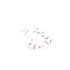 CCC1(COC(=O)c2c(Cl)c(Cl)cc(Cl)c2OC(=O)C(=O)Oc2c(Cl)cc(Cl)c(Cl)c2C(=O)OCC2(CC)C(C)CC2C)C(C)CC1C